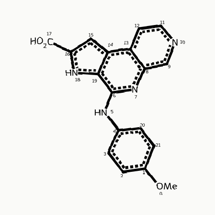 COc1ccc(Nc2nc3cnccc3c3cc(C(=O)O)[nH]c23)cc1